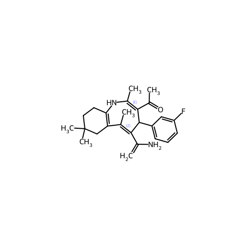 C=C(N)/C1=C(/C)C2=C(CCC(C)(C)C2)N/C(C)=C(/C(C)=O)C1c1cccc(F)c1